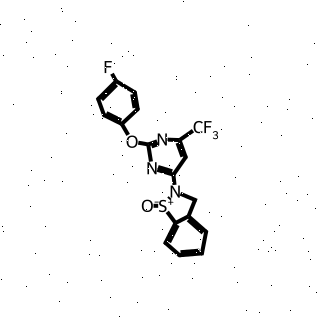 [O-][S+]1c2ccccc2CN1c1cc(C(F)(F)F)nc(Oc2ccc(F)cc2)n1